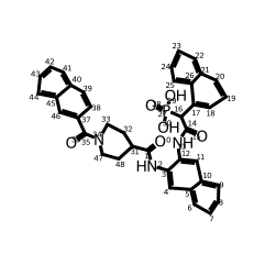 O=C(Nc1cc2ccccc2cc1NC(=O)C(c1cccc2ccccc12)P(=O)(O)O)C1CCN(C(=O)c2ccc3ccccc3c2)CC1